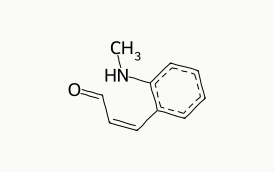 CNc1ccccc1/C=C\C=O